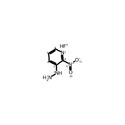 F.NNc1cccnc1[N+](=O)[O-]